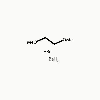 Br.COCCOC.[BaH2]